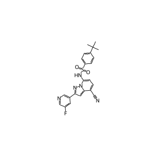 CC(C)(C)c1ccc(S(=O)(=O)Nc2ccc(C#N)c3cc(-c4cncc(F)c4)nn23)cc1